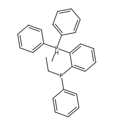 CCP(c1ccccc1)c1ccccc1[PH](C)(c1ccccc1)c1ccccc1